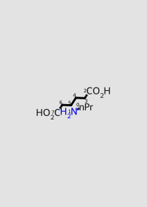 CCCN.O=C(O)CCCCC(=O)O